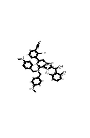 COc1ccc(CN(Cc2ccc(OC)cc2)c2nc(-c3cccc(C#N)c3F)cn3nc(C(O)c4c(F)cccc4Cl)nc23)cc1